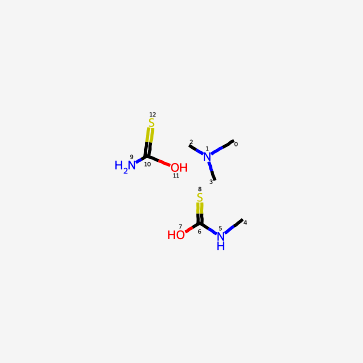 CN(C)C.CNC(O)=S.NC(O)=S